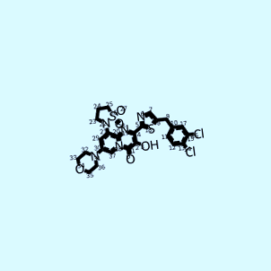 O=c1c(O)c(-c2ncc(Cc3ccc(Cl)c(Cl)c3)s2)nc2c(N3CCCS3(=O)=O)cc(N3CCOCC3)cn12